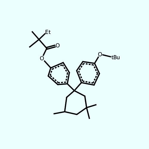 CCC(C)(C)C(=O)Oc1ccc(C2(c3ccc(OC(C)(C)C)cc3)CC(C)CC(C)(C)C2)cc1